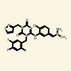 CN(N)/C=C1/C=C(Nc2nc(=O)n(Cc3ccsn3)c(=O)n2Cc2cc(F)c(F)cc2F)C(Cl)=CC1